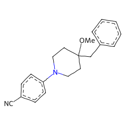 COC1(Cc2ccccc2)CCN(c2ccc(C#N)cc2)CC1